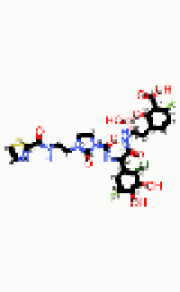 O=C(NCCN1CCN(C(=O)NC(C(=O)N[C@H]2Cc3ccc(F)c(C(=O)O)c3OB2O)c2cc(F)c(O)c(O)c2Cl)C1=O)c1nccs1